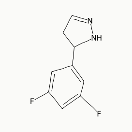 Fc1cc(F)cc(C2CC=NN2)c1